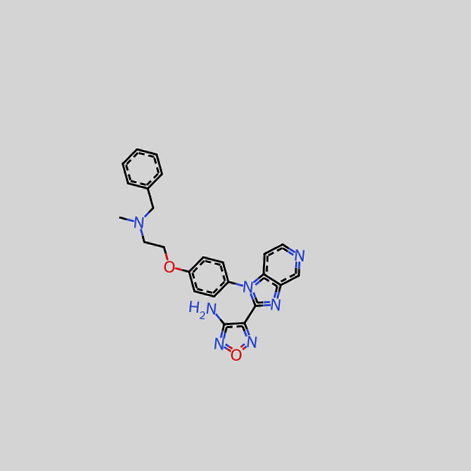 CN(CCOc1ccc(-n2c(-c3nonc3N)nc3cnccc32)cc1)Cc1ccccc1